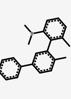 CB(C)c1cccc(C)c1-c1cc(-c2ccccc2)ccc1C